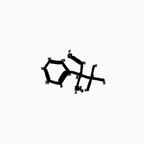 CC(C)(C)S(N)(C=O)c1ccccc1